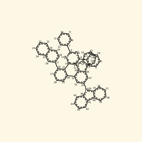 c1ccc(-c2nc(-c3ccccc3)nc(-c3c(-c4ccc5ccccc5c4)cccc3-c3cc(-n4c5ccccc5c5ccccc54)cc4c3oc3ccccc34)n2)cc1